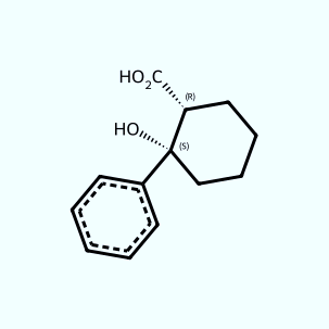 O=C(O)[C@@H]1CCCC[C@@]1(O)c1ccccc1